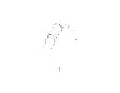 CCCCCCCCCCCC(=O)OC(=O)CNC.O=C([O-])C(F)(F)C(F)(F)C(F)(F)C(F)(F)C(F)(F)C(F)(F)C(F)(F)C(F)(F)F.[Na+]